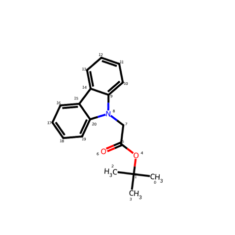 CC(C)(C)OC(=O)Cn1c2ccccc2c2ccccc21